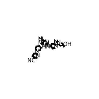 CC(C)(O)Cc1nnc2cc(Nc3ncc(Cl)c(NC4CCN(c5ccc(C#N)cn5)CC4)n3)ccn12